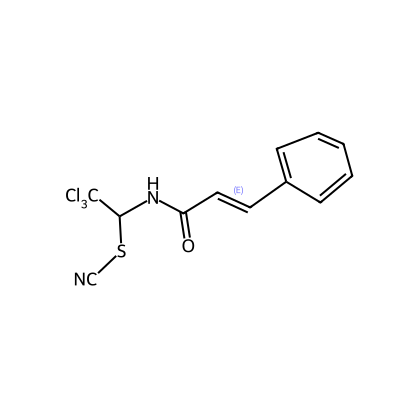 N#CSC(NC(=O)/C=C/c1ccccc1)C(Cl)(Cl)Cl